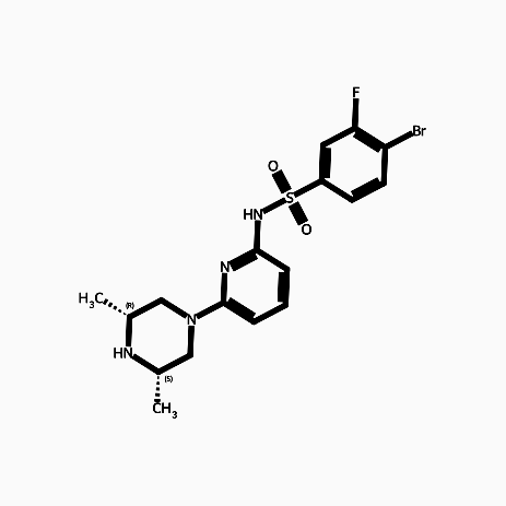 C[C@@H]1CN(c2cccc(NS(=O)(=O)c3ccc(Br)c(F)c3)n2)C[C@H](C)N1